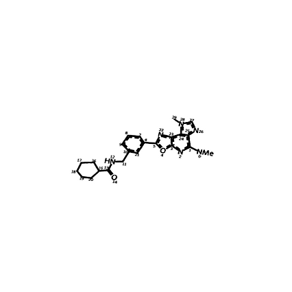 CNc1nc2oc(-c3cccc(CNC(=O)C4CCCCC4)c3)nc2c2c1ncn2C